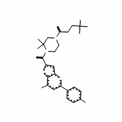 CC(C)(CCC(=O)N1CCN(C(=O)c2cc3nc(-c4ccc(Cl)cc4)cc(C(C)(C)C)c3o2)C(C)(C)C1)C(=O)O